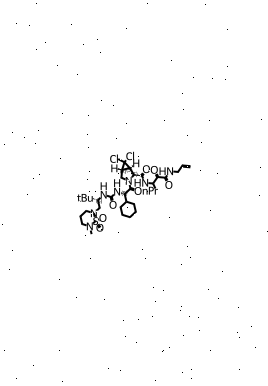 C=CCNC(=O)C(=O)C(CCC)NC(=O)[C@@H]1[C@@H]2[C@H](CN1C(=O)[C@@H](NC(=O)N[C@H](CN1CCCN(C)S1(=O)=O)C(C)(C)C)C1CCCCC1)C2(Cl)Cl